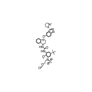 COc1c(NC(=O)N[C@H]2CC[C@@H](Oc3ccc4nnc([C@@H]5CCCN5C)n4c3)c3ccccc32)cc(C(C)(C)C)cc1N(CCOC=O)S(C)(=O)=O